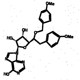 COc1ccc(COC(Cc2ccc(OC)cc2)[C@H]2O[C@@H](n3cnc4c(O)ncnc43)[C@H](O)[C@@H]2O)cc1